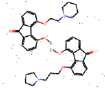 CCOc1cccc2c1-c1c(OCCCN3CCCC3)cccc1C2=O.CCOc1cccc2c1-c1c(OCCN3CCCCC3)cccc1C2=O